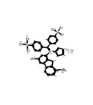 CC[Si](CC)(CC)c1ccc([C](c2ccc([Si](CC)(CC)CC)cc2)=[Zr+2]([C]2=CC=CC2)[c]2cc(C(C)(C)C)cc3c2Cc2c-3cccc2C(C)(C)C)cc1.[Cl-].[Cl-]